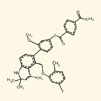 COc1cc(OC(=O)c2ccc(C(C)=O)cc2)ccc1-c1ccc2c(c1COc1cc(F)ccc1C)C(C)=CC(C)(C)N2